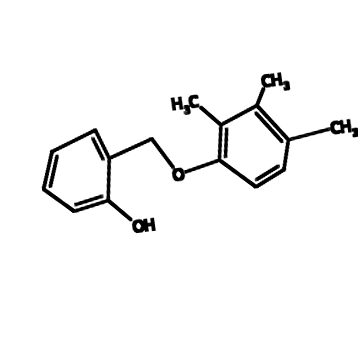 Cc1ccc(OCc2ccccc2O)c(C)c1C